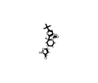 CC(C)(C)c1ccc([C@@]2(C)C[C@@H](c3cc(=O)[nH]o3)CCN2C(=O)O)s1